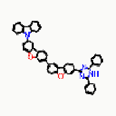 c1ccc(C2=NC(c3ccc4c(c3)oc3ccc(-c5ccc6c(c5)oc5ccc(-n7c8ccccc8c8ccccc87)cc56)cc34)=NC(c3ccccc3)N2)cc1